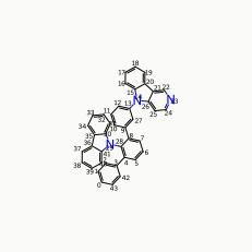 c1ccc(-c2cccc(-c3cccc(-n4c5ccccc5c5cnccc54)c3)c2-n2c3ccccc3c3ccccc32)cc1